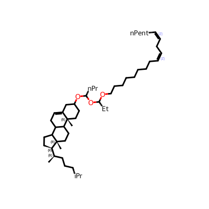 CCCCC/C=C\C/C=C\CCCCCCCCOC(CC)OC(CCC)OC1CC[C@@]2(C)C(=CCC3C2CC[C@@]2(C)C3CC[C@@H]2[C@H](C)CCCC(C)C)C1